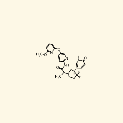 COc1cccc(Oc2ccc(NC(=O)C(C)N3CCC(F)(F)[C@@H](c4ccc(=O)[nH]c4)C3)nc2)n1